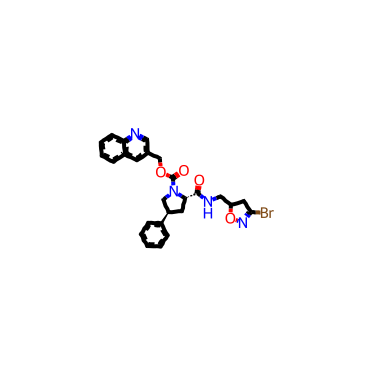 O=C(NCC1CC(Br)=NO1)[C@@H]1C[C@@H](c2ccccc2)CN1C(=O)OCc1cnc2ccccc2c1